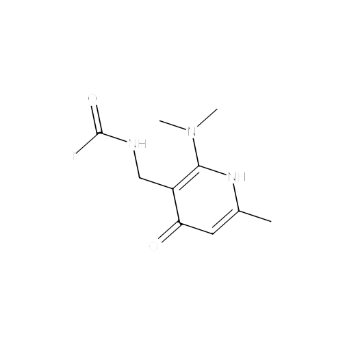 Cc1cc(=O)c(CNC(=O)I)c(N(C)C)[nH]1